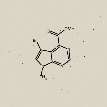 COC(=O)c1ncnc2c1c(Br)cn2C